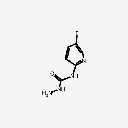 NNC(=O)Nc1ccc(F)cn1